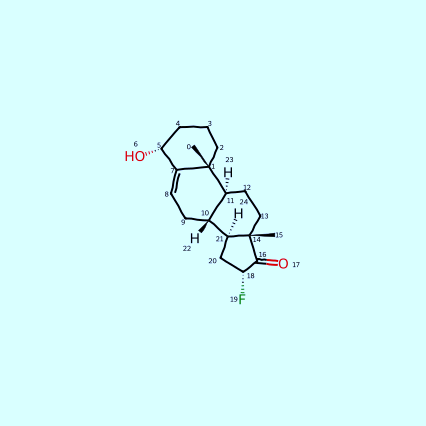 C[C@]12CCC[C@@H](O)C1=CC[C@@H]1[C@@H]2CC[C@]2(C)C(=O)[C@H](F)C[C@@H]12